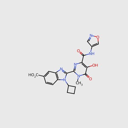 Cn1c(-c2nc3cc(C(=O)O)ccc3n2C2CCC2)nc(C(=O)Nc2cnoc2)c(O)c1=O